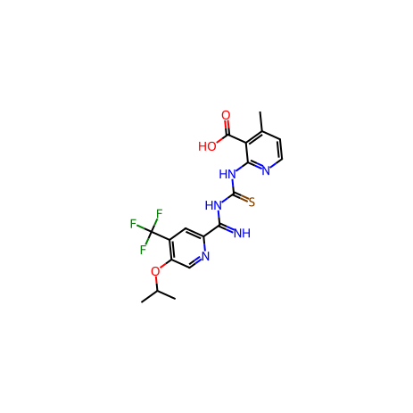 Cc1ccnc(NC(=S)NC(=N)c2cc(C(F)(F)F)c(OC(C)C)cn2)c1C(=O)O